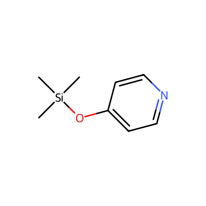 C[Si](C)(C)Oc1ccncc1